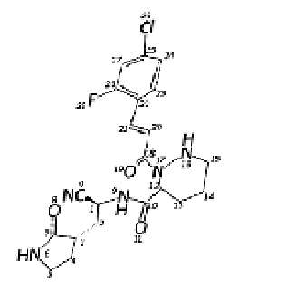 N#C[C@H](C[C@@H]1CCNC1=O)NC(=O)C1CCCNN1C(=O)/C=C/c1ccc(Cl)cc1F